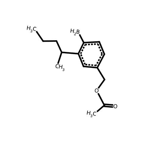 Bc1ccc(COC(C)=O)cc1C(C)CCC